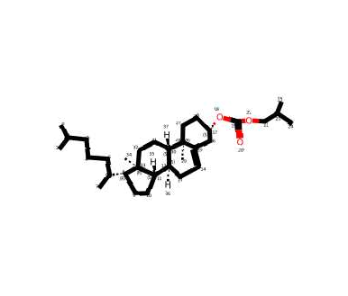 CC(C)CCCC(C)[C@H]1CC[C@H]2[C@@H]3CC=C4C[C@@H](OC(=O)OCC(C)C)CC[C@]4(C)[C@H]3CC[C@]12C